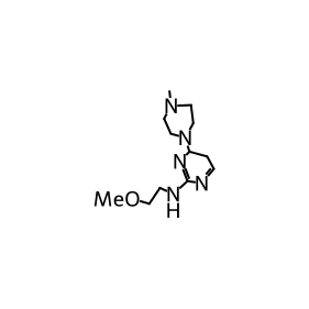 COCCNC1=NC(N2CCN(C)CC2)CC=N1